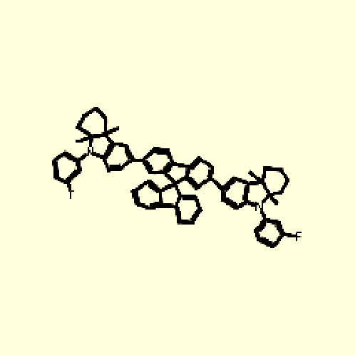 CC12CCCCC1(C)N(c1cccc(F)c1)c1ccc(-c3ccc4c(c3)C3(c5ccccc5-c5ccccc53)c3cc(-c5ccc6c(c5)C5(C)CCCCC5(C)N6c5cccc(F)c5)ccc3-4)cc12